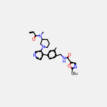 C=CC(=O)N(C)C1CCCN(c2cnccc2-c2ccc(CNC(=O)c3cnc(C(C)(C)C)o3)c(C)c2)C1